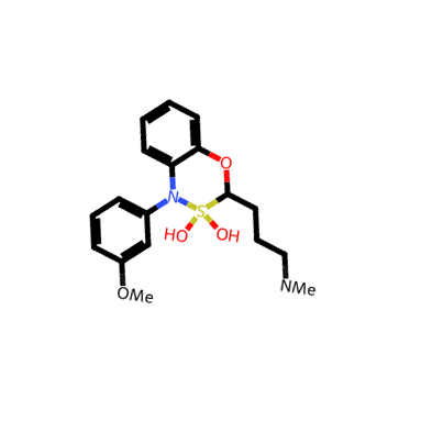 CNCCCC1Oc2ccccc2N(c2cccc(OC)c2)S1(O)O